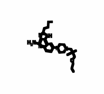 CCCCc1nc2c(N)nc3ccc(N4CCN(CC(C)(C)COCCC)CC4)cc3c2[nH]1